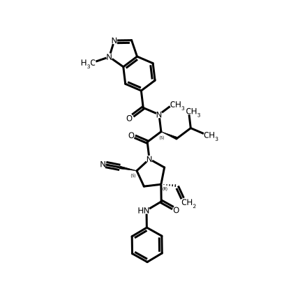 C=C[C@]1(C(=O)Nc2ccccc2)C[C@@H](C#N)N(C(=O)[C@H](CC(C)C)N(C)C(=O)c2ccc3cnn(C)c3c2)C1